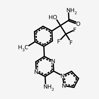 Cc1ccc(C(O)(C(N)=O)C(F)(F)F)cc1-c1cnc(N)c(-n2cccn2)n1